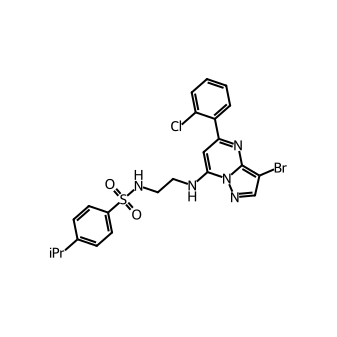 CC(C)c1ccc(S(=O)(=O)NCCNc2cc(-c3ccccc3Cl)nc3c(Br)cnn23)cc1